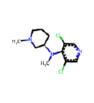 CN1CCC[C@@H](N(C)c2c(Cl)cncc2Cl)C1